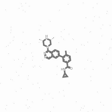 Cc1ccc(C(=O)NC2CC2)cc1-c1ccc2c(N3C[C@@H](C)N[C@@H](C)C3)nncc2c1